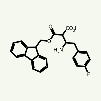 NC(Cc1ccc(F)cc1)C(C(=O)O)C(=O)OCC1c2ccccc2-c2ccccc21